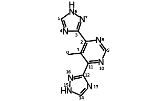 Cc1c(-c2nc[nH]n2)ncnc1-c1nc[nH]n1